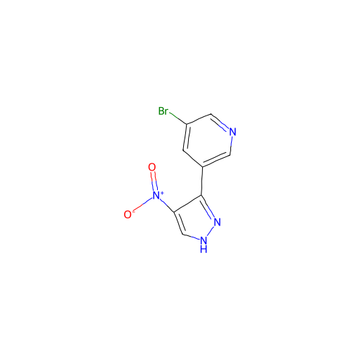 O=[N+]([O-])c1c[nH]nc1-c1cncc(Br)c1